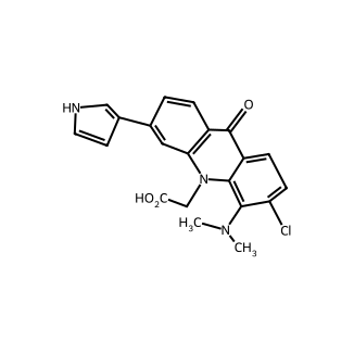 CN(C)c1c(Cl)ccc2c(=O)c3ccc(-c4cc[nH]c4)cc3n(CC(=O)O)c12